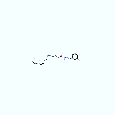 CCCCC/C=C\C/C=C\CC/C=C\CCCC(=O)NCCc1ccc(O)c(C)c1